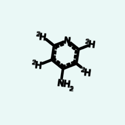 [2H]c1nc([2H])c([2H])c(N)c1[2H]